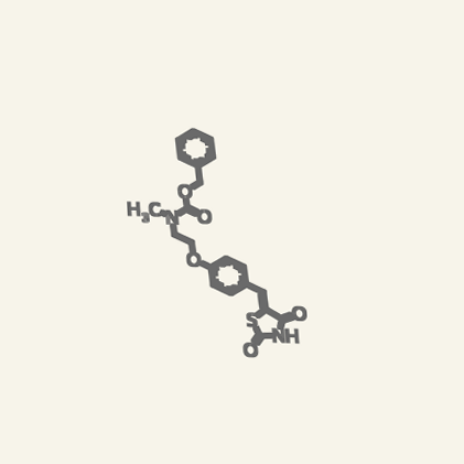 CN(CCOc1ccc(/C=C2\SC(=O)NC2=O)cc1)C(=O)OCc1ccccc1